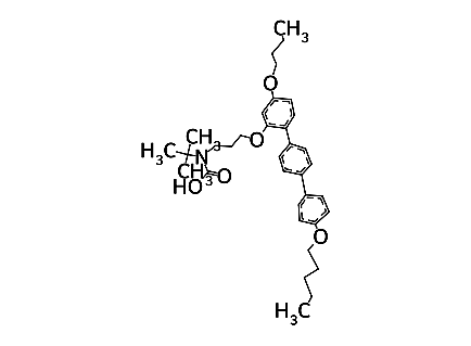 CCCCCOc1ccc(-c2ccc(-c3ccc(OCCCC)cc3OCCCN(C(=O)O)C(C)(C)C)cc2)cc1